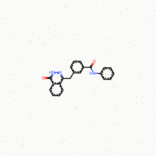 O=C(Nc1ccccc1)c1cccc(Cc2n[nH]c(=O)c3ccccc23)c1